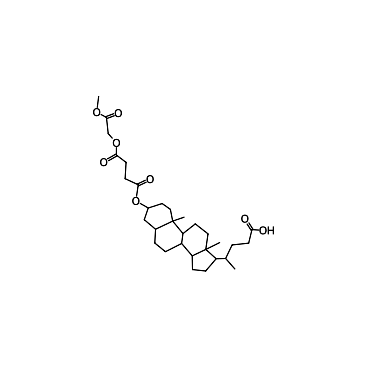 COC(=O)COC(=O)CCC(=O)OC1CCC2(C)C(CCC3C2CCC2(C)C(C(C)CCC(=O)O)CCC32)C1